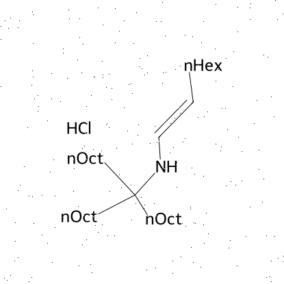 CCCCCCC=CNC(CCCCCCCC)(CCCCCCCC)CCCCCCCC.Cl